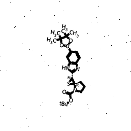 CC(C)(C)OC(=O)N1CCC[C@]12S[C@@H]2c1nc2ccc(B3OC(C)(C)C(C)(C)O3)cc2[nH]1